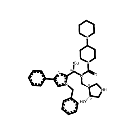 CC(C)(C)[C@H](c1nc(-c2ccccc2)cn1Cc1ccccc1)N(C[C@H]1CNC[C@@H]1O)C(=O)N1CCC(N2CCCCC2)CC1